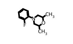 CC1CN(c2ccccc2F)CC(C)O1